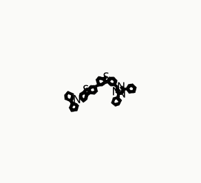 C1=CCCC(c2nc(-c3ccccc3)nc(-c3ccc4sc5ccc(-c6ccc7c(c6)sc6cc(-n8c9c(c%10ccccc%108)C=CCC9)ccc67)cc5c4c3)n2)=C1